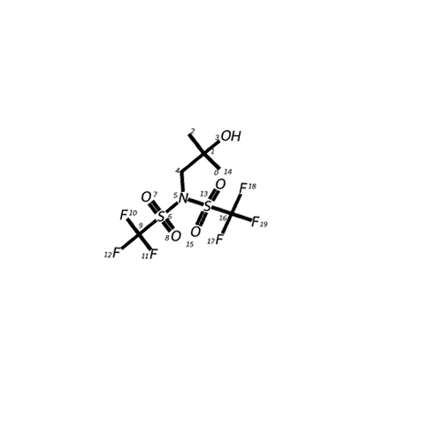 CC(C)(O)CN(S(=O)(=O)C(F)(F)F)S(=O)(=O)C(F)(F)F